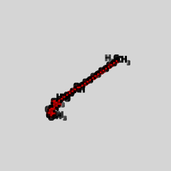 CCc1c2c(nc3ccc(OCCCNC(=O)OCCSSCCNC(=O)CCOCCOCCOCCOCCOCCOCCOCCOCCOCCC(C)C)cc13)-c1cc3c(c(=O)n1C2)COC(=O)[C@]3(O)CC